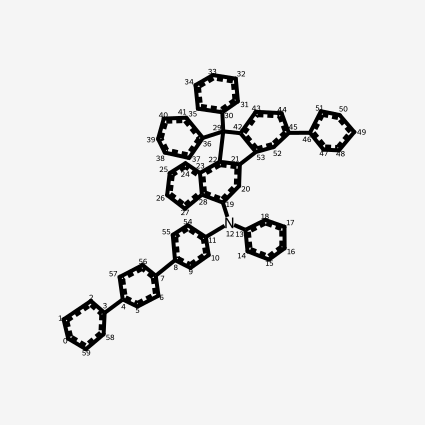 c1ccc(-c2ccc(-c3ccc(N(c4ccccc4)c4cc5c(c6ccccc46)C(c4ccccc4)(c4ccccc4)c4ccc(-c6ccccc6)cc4-5)cc3)cc2)cc1